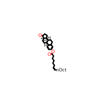 CCCCCCCC/C=C\CCCCCC(=O)Oc1ccc2c(c1)CC[C@@H]1[C@@H]2CC[C@]2(C)C(=O)CC[C@@H]12